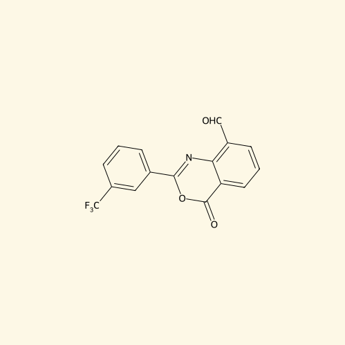 O=Cc1cccc2c(=O)oc(-c3cccc(C(F)(F)F)c3)nc12